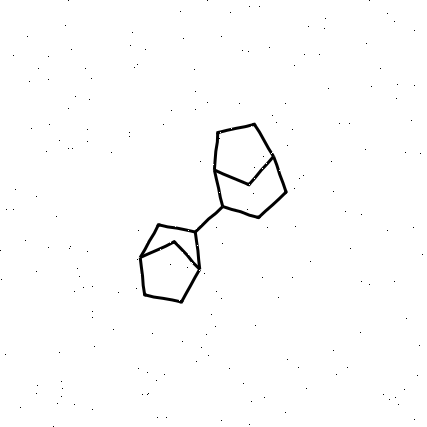 C1CC2CC1CCC2C1CC2CCC1C2